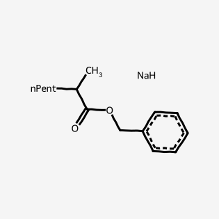 CCCCCC(C)C(=O)OCc1ccccc1.[NaH]